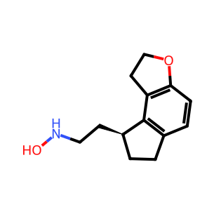 ONCC[C@@H]1CCc2ccc3c(c21)CCO3